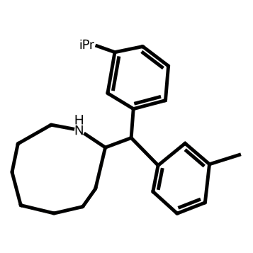 Cc1cccc(C(c2cccc(C(C)C)c2)C2CCCCCCCN2)c1